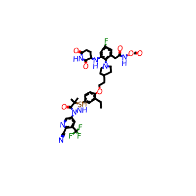 CCc1cc([SH]2NN(c3cnc(C#N)c(C(F)(F)F)c3)C(=O)C2(C)C)ccc1OCCC1CCN(c2c(CC(=O)NOC=O)cc(F)cc2NC2CCC(=O)NC2=O)CC1